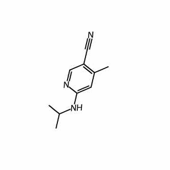 Cc1cc(NC(C)C)ncc1C#N